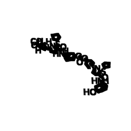 O=C(O)OC1[C@H]2CN(c3ccc(C(=O)N[C@H]4C5CC6CC4C[C@@](OC(=O)OC4CCN(c7ccc(C(=O)N[C@H]8C9CC%10CC8C[C@@](O)(C%10)C9)c(SC8CCCC8)n7)CC4)(C6)C5)c(SC4CCCC4)n3)C[C@@H]12